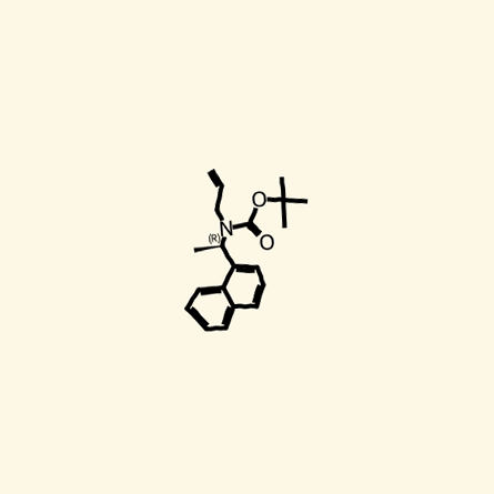 C=CCN(C(=O)OC(C)(C)C)[C@H](C)c1cccc2ccccc12